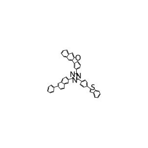 c1ccc(-c2ccc3cc(-c4nc(-c5ccc(-c6cc7ccccc7s6)cc5)nc(-c5ccc6oc7cc8ccccc8cc7c6c5)n4)ccc3c2)cc1